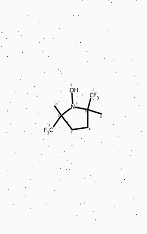 CC1(C(F)(F)F)CCC(C)(C(F)(F)F)N1O